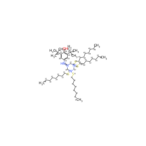 CCCCCCCCS[N+]1(SCCCCCCCC)CN(Nc2cc(C(C)(C)C)c(O)c(C(C)(C)C)c2)C[N+](SCCCCCCCC)(SCCCCCCCC)C1